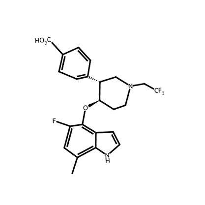 Cc1cc(F)c(O[C@@H]2CCN(CC(F)(F)F)C[C@H]2c2ccc(C(=O)O)cc2)c2cc[nH]c12